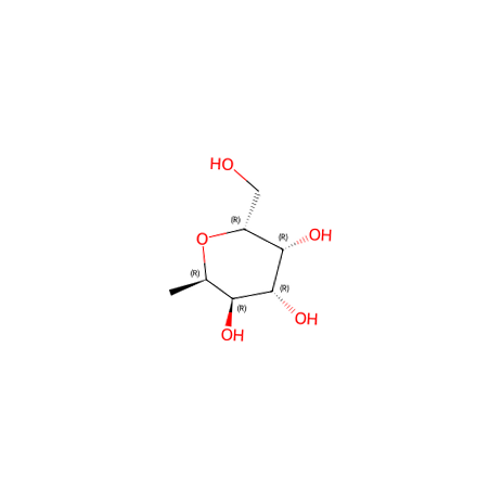 C[C@H]1O[C@H](CO)[C@H](O)[C@H](O)[C@H]1O